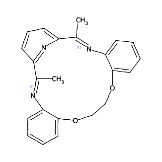 C/C1=N\c2ccccc2OCCOc2ccccc2/N=C(\C)c2cccc1n2